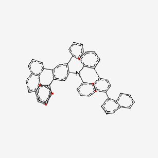 c1ccc(-c2cc(N(c3ccccc3)c3ccccc3-c3ccc(-c4cccc5ccccc45)cc3)c(-c3ccccc3)cc2-c2cccc3ccc4ccccc4c23)cc1